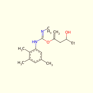 C=C(CC(O)CC)O/C(=N\C)Nc1cc(C)cc(C)c1C